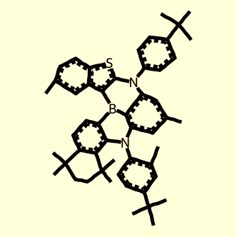 Cc1cc2c3c(c1)N(c1ccc(C(C)(C)C)cc1C)c1c(ccc4c1C(C)(C)CCC4(C)C)B3c1c(sc3ccc(C)cc13)N2c1ccc(C(C)(C)C)cc1